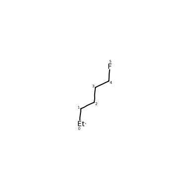 C[CH]CCCCF